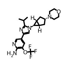 CC(C)c1nc(-c2cnc(N)c(OC(F)(F)F)c2)cn1[C@H]1[C@@H]2C[C@H](N3CCOCC3)C[C@@H]21